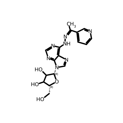 CC(=NNc1ncnc2c1ncn2[C@@H]1O[C@H](CO)C(O)C1O)c1cccnc1